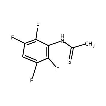 CC(=S)Nc1c(F)c(F)cc(F)c1F